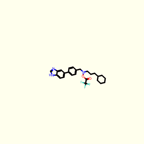 O=C(ON(CCCC1CCCCC1)Cc1ccc(-c2ccc3[nH]cnc3c2)cc1)C(F)(F)F